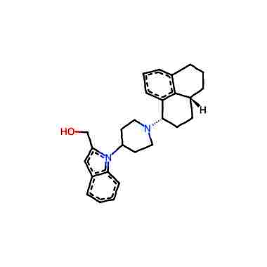 OCc1cc2ccccc2n1C1CCN([C@H]2CC[C@H]3CCCc4cccc2c43)CC1